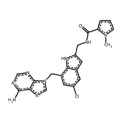 Cn1cccc1C(=O)NCc1cc2cc(Cl)cc(Cn3cnc4c(N)ncnc43)c2[nH]1